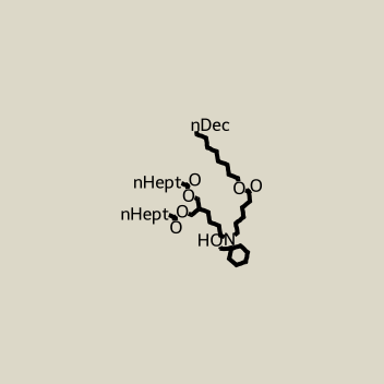 CCCCCCCCCCCCCCCCCCOC(=O)CCCCCN(CCCCC(COC(=O)CCCCCCC)COC(=O)CCCCCCC)C1(CO)CCCCC1